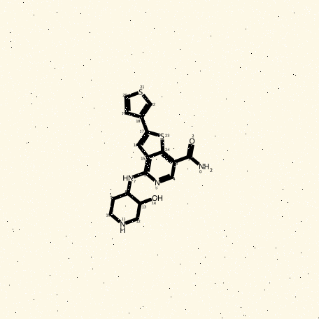 NC(=O)c1cnc(NC2CCNCC2O)c2cc(-c3ccsc3)sc12